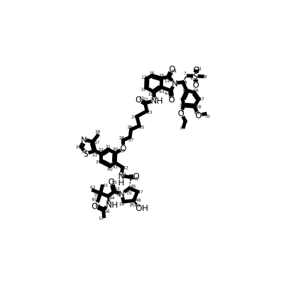 CCOc1cc([C@@H](CS(C)(=O)=O)N2C(=O)c3cccc(NC(=O)CCCCCCOc4cc(-c5scnc5C)ccc4CNC(=O)[C@@H]4C[C@@H](O)CN4C(=O)[C@@H](NC(C)=O)C(C)(C)C)c3C2=O)ccc1OC